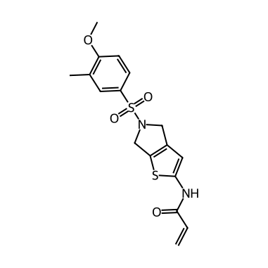 C=CC(=O)Nc1cc2c(s1)CN(S(=O)(=O)c1ccc(OC)c(C)c1)C2